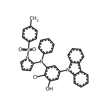 Cc1ccc(S(=O)(=O)n2cccc2N(c2ccccc2)c2cc(-n3c4ccccc4c4ccccc43)cc(O)c2Cl)cc1